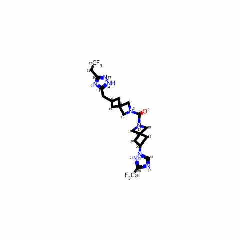 O=C(N1CC2(CC(Cc3nc(CC(F)(F)F)n[nH]3)C2)C1)N1CC2(CC(n3cnc(C(F)(F)F)n3)C2)C1